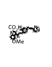 COc1ccc2nccc([C@H](F)CC[C@@H]3CCN(CC#Cc4ccncn4)C[C@@H]3CC(=O)O)c2c1